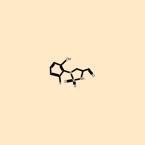 O=CC1CN(c2c(O)cccc2F)S(=O)(=O)N1